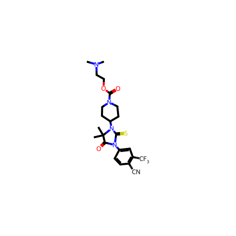 CN(C)CCOC(=O)N1CCC(N2C(=S)N(c3ccc(C#N)c(C(F)(F)F)c3)C(=O)C2(C)C)CC1